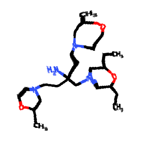 CCC1CN(CC(N)(CCN2CCOC(C)C2)CCN2CCOC(C)C2)CC(CC)O1